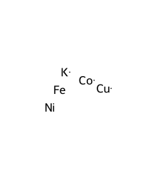 [Co].[Cu].[Fe].[K].[Ni]